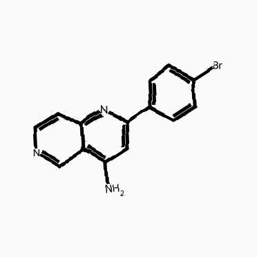 Nc1cc(-c2ccc(Br)cc2)nc2ccncc12